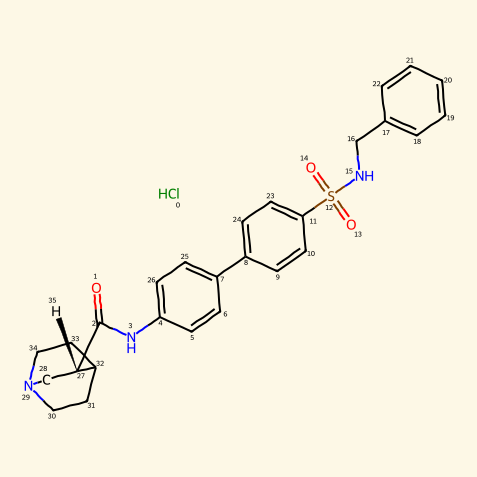 Cl.O=C(Nc1ccc(-c2ccc(S(=O)(=O)NCc3ccccc3)cc2)cc1)[C@H]1CN2CCC1CC2